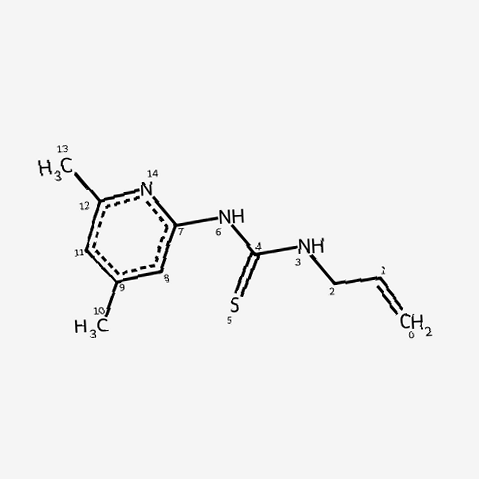 C=CCNC(=S)Nc1cc(C)cc(C)n1